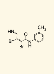 Cc1cccc(NC(=O)/C(Br)=C(/Br)C=N)c1